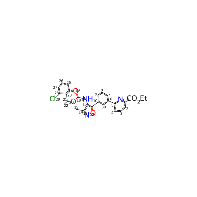 CCOC(=O)c1cccc(-c2cccc(-c3onc(C)c3NC(=O)OC(C)c3ccccc3Cl)c2)n1